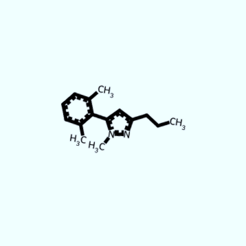 CCCc1cc(-c2c(C)cccc2C)n(C)n1